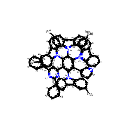 CC(C)(C)c1ccc2c(c1)c1ccccc1n2-c1c(-c2cccnc2)c(-n2c3ccccc3c3cc(C(C)(C)C)ccc32)c(-n2c3ccccc3c3cc(C(C)(C)C)ccc32)c(-n2c3ccccc3c3cc(C(C)(C)C)ccc32)c1-c1cc(-c2ccccc2)nc(-c2ccccc2)n1